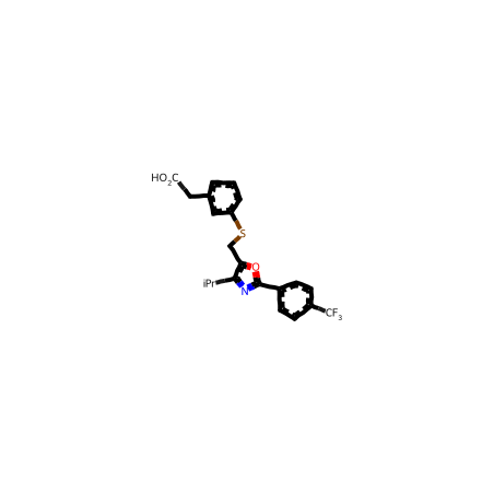 CC(C)c1nc(-c2ccc(C(F)(F)F)cc2)oc1CSc1cccc(CC(=O)O)c1